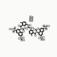 Cc1ccc(NC(=O)Nc2ccc(C)c(C(=O)N3C(=O)Oc4cc(S(=O)(=O)O)cc5cc(S(=O)(=O)O)cc3c45)c2)cc1C(=O)N1C(=O)Oc2cc(S(=O)(=O)O)cc3cc(S(=O)(=O)O)cc1c23.[Na].[Na].[Na].[Na]